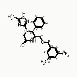 Nc1nc(N2CC(=O)N[C@H](COCc3cc(C(F)(F)F)cc(C(F)(F)F)c3)[C@@H]2c2ccccc2)n[nH]1